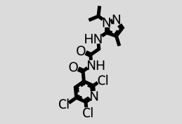 Cc1cnn(C(C)C)c1NCC(=O)NC(=O)c1cc(Cl)c(Cl)nc1Cl